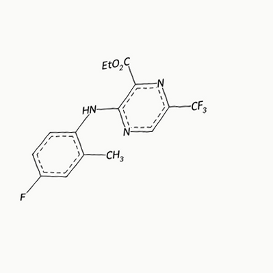 CCOC(=O)c1nc(C(F)(F)F)cnc1Nc1ccc(F)cc1C